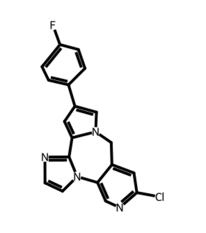 Fc1ccc(-c2cc3n(c2)Cc2cc(Cl)ncc2-n2ccnc2-3)cc1